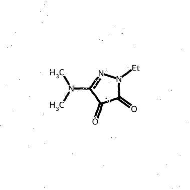 CCN1N=C(N(C)C)C(=O)C1=O